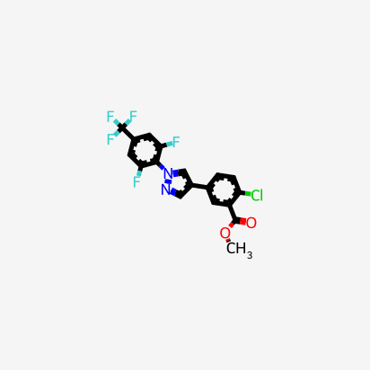 COC(=O)c1cc(-c2cnn(-c3c(F)cc(C(F)(F)F)cc3F)c2)ccc1Cl